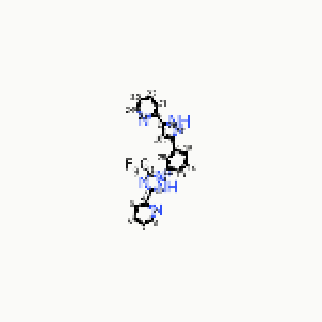 FC(F)(F)c1nc(-c2ccccn2)[nH][n+]1-c1cccc(-c2cc(-c3ccccn3)[nH]n2)c1